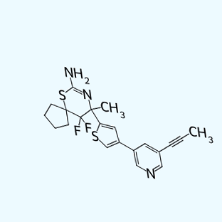 CC#Cc1cncc(-c2csc(C3(C)N=C(N)SC4(CCCC4)C3(F)F)c2)c1